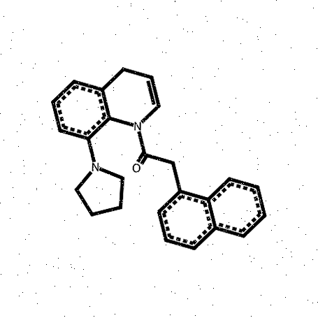 O=C(Cc1cccc2ccccc12)N1C=CCc2cccc(N3CCCC3)c21